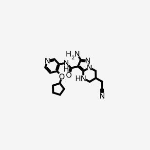 N#CCC1CNc2c(C(=O)Nc3cnccc3OC3CCCC3)c(N)nn2C1